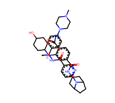 C[C@H](NC(=O)c1ccc(N2C3CCC2CC(NC(=O)c2ccc(C(N)=O)c(NC4CCC(O)CC4)c2)C3)nc1)c1ccc(N2CCN(C)CC2)cc1